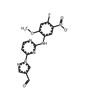 COc1cc(F)c([N+](=O)[O-])cc1Nc1nccc(-n2cc(C=O)cn2)n1